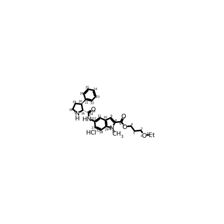 CCOCCCOC(=O)c1cc2cc(NC(=O)[C@@H]3NCC[C@H]3c3ccccc3)ccc2n1C.Cl